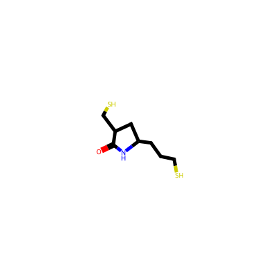 O=C1NC(CCCS)CC1CS